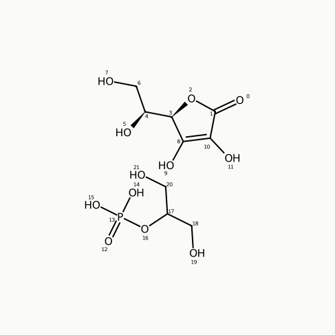 O=C1O[C@H]([C@@H](O)CO)C(O)=C1O.O=P(O)(O)OC(CO)CO